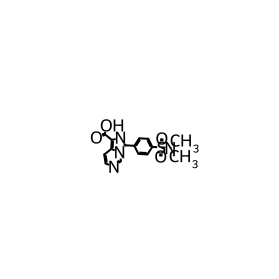 CN(C)S(=O)(=O)c1ccc(-c2nc(C(=O)O)c3ccncn23)cc1